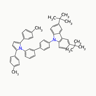 Cc1ccc(-c2ccc(-c3ccc(C)cc3)n2-c2cccc(-c3ccc(-n4c5ccc(C(C)(C)C)cc5c5cc(C(C)(C)C)ccc54)cc3)c2)cc1